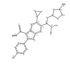 CNC(=O)c1c(-c2ccc(Cl)cc2)oc2cc(N(CC3COB(O)C3)[S+](C)[O-])c(C3CC3)cc12